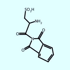 NC(CS(=O)(=O)O)C(=O)N1C(=O)c2ccccc2C1=O